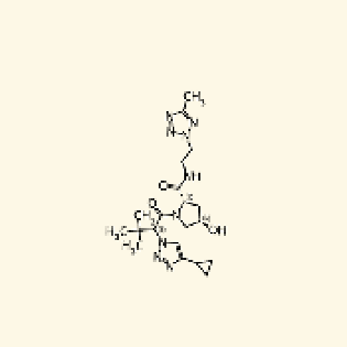 Cc1nnn(CCNC(=O)[C@@H]2C[C@@H](O)CN2C(=O)[C@@H](n2cc(C3CC3)nn2)C(C)(C)C)n1